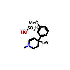 CCCC1(c2cccc(OC)c2)C=CN(C)CC1.O=S(=O)(O)O